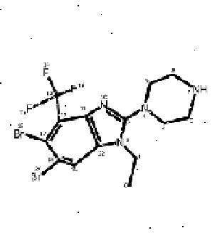 CCn1c(N2CCNCC2)nc2c(C(F)(F)F)c(Br)c(Br)cc21